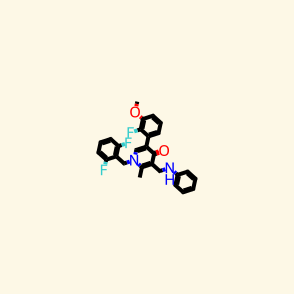 COc1cccc(-c2cn(Cc3c(F)cccc3F)c(C)c(CNc3ccccc3)c2=O)c1F